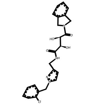 O=C(NCc1ccn(Cc2ccccc2Cl)n1)[C@H](O)[C@@H](O)C(=O)N1Cc2ccccc2C1